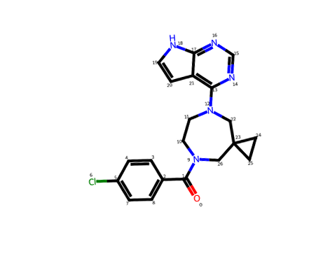 O=C(c1ccc(Cl)cc1)N1CCN(c2ncnc3[nH]ccc23)CC2(CC2)C1